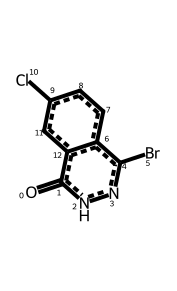 O=c1[nH]nc(Br)c2ccc(Cl)cc12